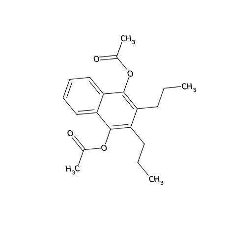 CCCc1c(CCC)c(OC(C)=O)c2ccccc2c1OC(C)=O